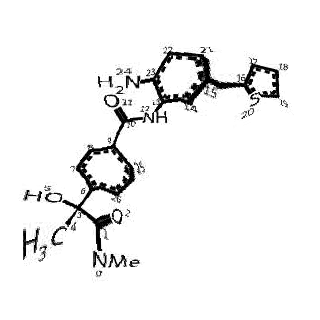 CNC(=O)[C@](C)(O)c1ccc(C(=O)Nc2cc(-c3cccs3)ccc2N)cc1